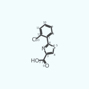 O=C(O)c1csc(-c2ccccc2Cl)n1